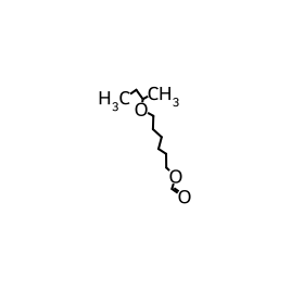 CCC(C)OCCCCCCOC=O